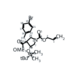 C=CCOC(=O)N1C[C@H](O[Si](C)(C)C(C)(C)C)[C@@](Cc2ccc(Br)cc2)(C(=O)OC)C1